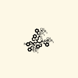 COc1ccccc1CN(C)C(=O)C1(CCC(C(CCC(=O)N(C)Cc2ccccc2OC(C)C)N2CCCc3ccccc32)C2C(C(=O)N(C)Cc3ccccc3OC(C)C)[N+]23CCc2cc(F)ccc23)C2Cc3cc(F)ccc3N21